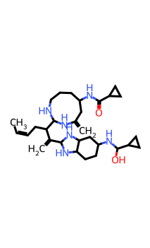 C=C1CC(NC(=O)C2CC2)CCCNC(C(C/C=C\C)C(=C)C2NC3CCC(NC(O)C4CC4)CC3N2)N1